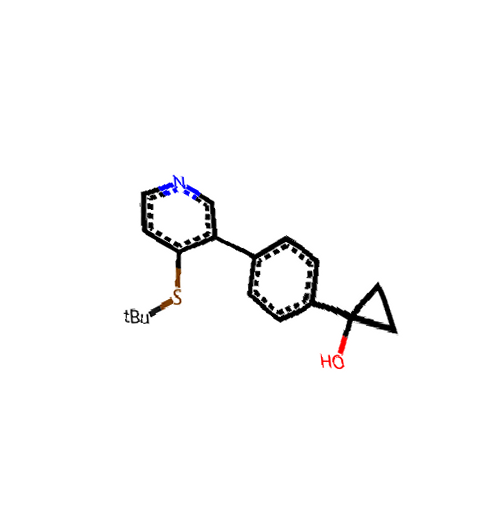 CC(C)(C)Sc1ccncc1-c1ccc(C2(O)CC2)cc1